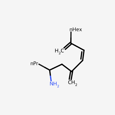 C=C(/C=C\C(=C)CC(N)CCC)CCCCCC